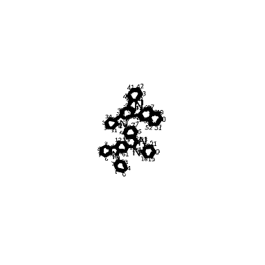 c1ccc(-n2c3ccccc3c3ccc(-c4nc5ccccc5nc4-c4ccc(-n5c6ccccc6c6cc7c8ccccc8n8c9cc%10ccccc%10cc9c(c65)c78)cc4)cc32)cc1